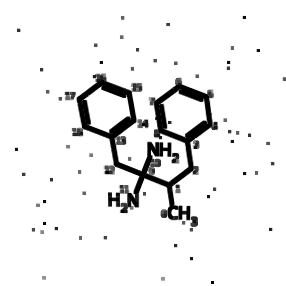 CC(Cc1ccccc1)C(N)(N)Cc1ccccc1